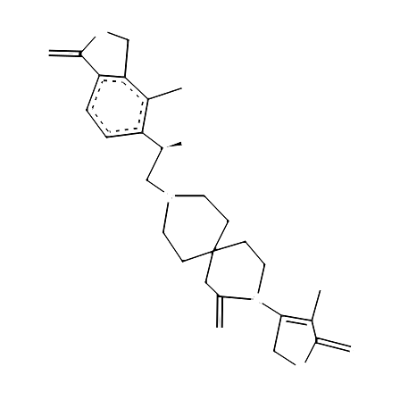 CC1=C(N2CCC3(CCN(C[C@H](O)c4ccc5c(c4C)COC5=O)CC3)CC2=O)COC1=O